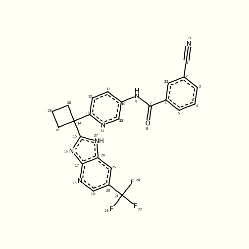 N#Cc1cccc(C(=O)Nc2ccc(C3(c4nc5ncc(C(F)(F)F)cc5[nH]4)CCC3)nc2)c1